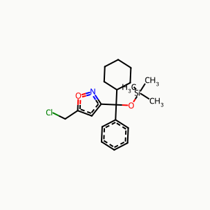 C[Si](C)(C)OC(c1ccccc1)(c1cc(CCl)on1)C1CCCCC1